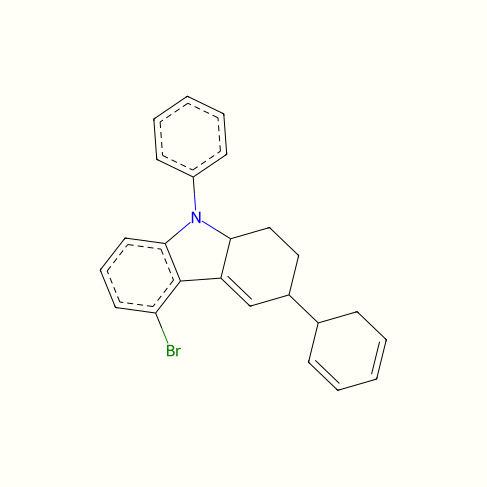 Brc1cccc2c1C1=CC(C3C=CC=CC3)CCC1N2c1ccccc1